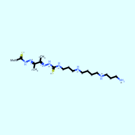 CNC(=S)N/N=C(C)/C(C)=N/NC(=S)NCCCNCCCCNCCCN